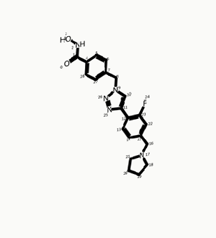 O=C(NO)c1ccc(Cn2cc(-c3ccc(CN4CCCC4)cc3F)nn2)cc1